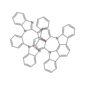 c1ccc(-c2cccc(-n3c4ccccc4c4ccc5c6ccccc6n(-c6ccc7c(c6)c6nc8ccccc8n6c6ccccc6n6c8ccccc8nc76)c5c43)c2)cc1